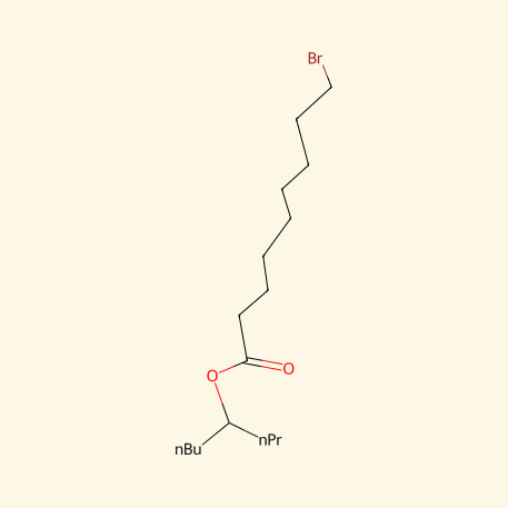 CCCCC(CCC)OC(=O)CCCCCCCCBr